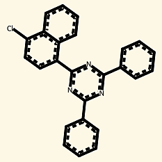 Clc1ccc(-c2nc(-c3ccccc3)nc(-c3ccccc3)n2)c2ccccc12